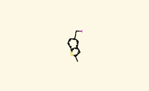 Cc1cc2cc(CI)ccc2s1